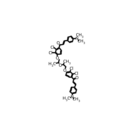 CC(COc1ccc(C(=O)C=Cc2ccc(N(C)C)cc2)c(Cl)c1Cl)OC(C)COc1ccc(C(=O)C=Cc2ccc(N(C)C)cc2)c(Cl)c1Cl